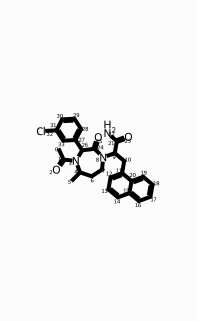 CC(=O)N1C(C)CCN(C(Cc2cccc3ccccc23)C(N)=O)C(=O)C1c1cccc(Cl)c1